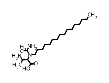 CCCCCCCCCCCCCCCCN(C(C)N)C(C(=O)O)C(C)N